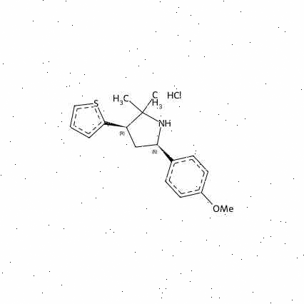 COc1ccc([C@H]2C[C@@H](c3cccs3)C(C)(C)N2)cc1.Cl